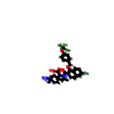 CCCC1(C(NC(=O)c2ccc3cc(F)ccc3c2OCc2ccc(OC(F)(F)F)cc2)C(=O)O)CCC(C)(N)CC1